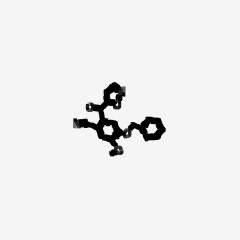 COc1cc(C#N)c(C(=O)c2ccno2)cc1OCc1ccccc1